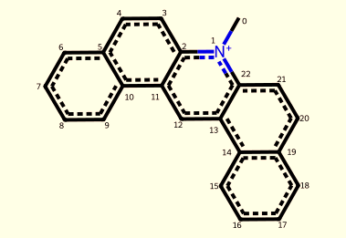 C[n+]1c2ccc3ccccc3c2cc2c3ccccc3ccc21